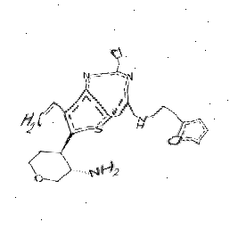 C=Cc1c([C@@H]2CCOC[C@H]2N)sc2c(NCc3ccco3)nc(Cl)nc12